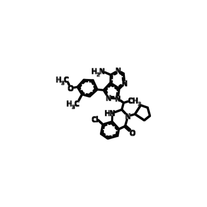 COc1ccc(-c2nn(C(C)C3Nc4c(Cl)cccc4C(=O)N3C3CCCC3)c3ncnc(N)c23)cc1C